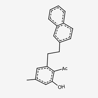 CC(=O)c1c(O)cc(C)cc1CCc1ccc2ccccc2c1